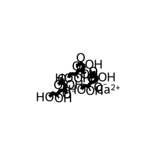 O=C1O[C@H]([C@@H](O)CO)C(O)=C1O.O=C1O[C@H]([C@@H](O)CO)C([O-])=C1O.O=C1O[C@H]([C@@H](O)CO)C([O-])=C1O.[Ca+2]